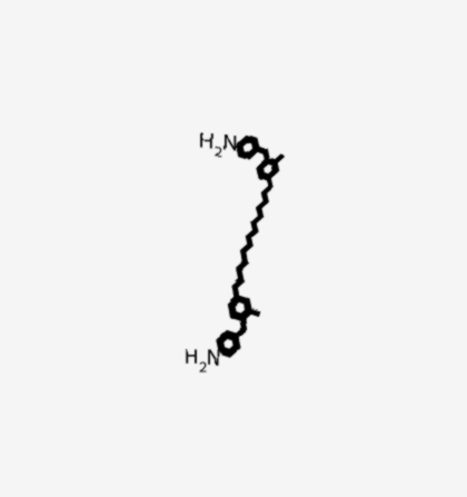 Cc1cc(CCCCCCCCCCCCCCc2ccc(Cc3ccc(N)cc3)c(C)c2)ccc1Cc1ccc(N)cc1